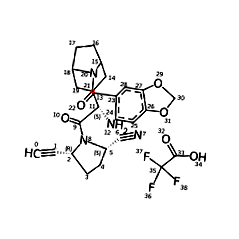 C#C[C@H]1CC[C@@H](C#N)N1C(=O)[C@@H](N)C1CC2CCC(C1)N2C(=O)c1ccc2c(c1)OCO2.O=C(O)C(F)(F)F